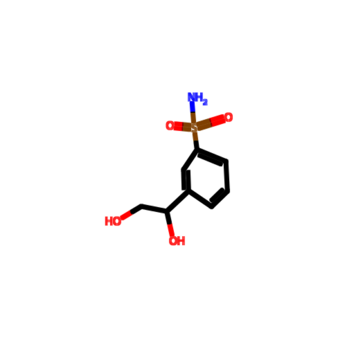 NS(=O)(=O)c1cccc(C(O)CO)c1